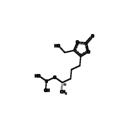 C[C@@H](CCCc1oc(=O)oc1CO)ON(O)O